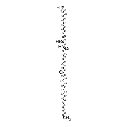 CCCCCCCCC=CCCCCCCCCCCCC(=O)CCCCCCCCCCC(=O)NC[C@@H](O)CCCCCCCCCCCCCCCC